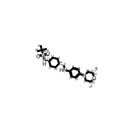 C[C@@H]1CN(c2ccc(NC[C@H]3CC[C@H](NS(=O)(=O)C(C)(C)C)CC3)cc2)C[C@H](C)O1